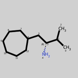 CC(C)[C@H](N)CC1CCCCCC1